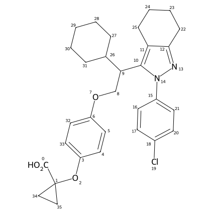 O=C(O)C1(Oc2ccc(OCC(c3c4c(nn3-c3ccc(Cl)cc3)CCCC4)C3CCCCC3)cc2)CC1